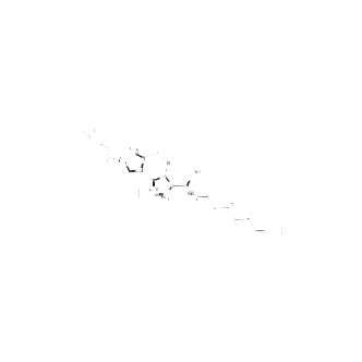 CCOCCn1cc2c(n1)CCc1c(C(=O)NCCCCCCS)n[nH]c1-2